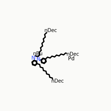 CCCCCCCCCCCCCCCCCCCCCC(=N\c1cccc(CCCCCCCCCCCCCCCCCCC)c1)/C(CCCC)=N\c1cccc(CCCCCCCCCCCCCCCCCCC)c1.[Pd]